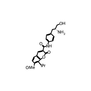 COc1ccc2cc(C(=O)Nc3ccc(C[C@@H](N)CO)cc3)c(=O)oc2c1C(C)C